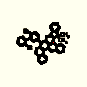 CCc1ccccc1-c1cc(N(c2ccc3c(c2)-c2ccccc2C3(C)C)c2ccc3ccccc3c2-c2ccc3ccccc3c2)ccc1CC